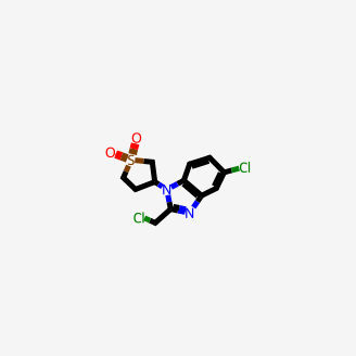 O=S1(=O)CCC(n2c(CCl)nc3cc(Cl)ccc32)C1